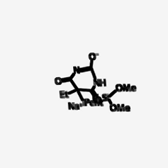 CCCC(C)C1(CC)C(=O)N=C([O-])NC1=O.CO[SiH2]OC.[Na+]